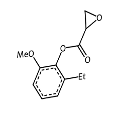 CCc1cccc(OC)c1OC(=O)C1CO1